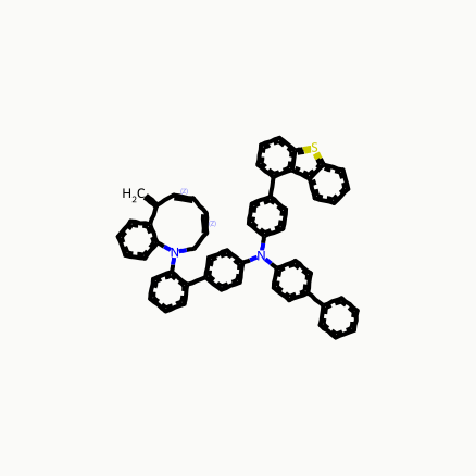 C=C1/C=C\C=C/CN(c2ccccc2-c2ccc(N(c3ccc(-c4ccccc4)cc3)c3ccc(-c4cccc5sc6ccccc6c45)cc3)cc2)c2ccccc21